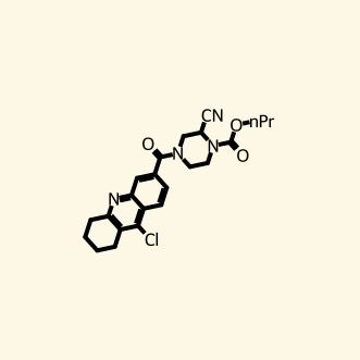 CCCOC(=O)N1CCN(C(=O)c2ccc3c(Cl)c4c(nc3c2)CCCC4)CC1C#N